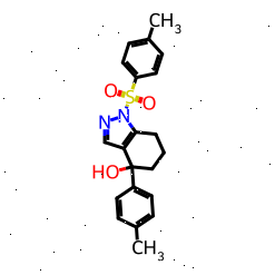 Cc1ccc(C2(O)CCCc3c2cnn3S(=O)(=O)c2ccc(C)cc2)cc1